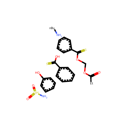 CCC(=O)OCOC(=S)c1ccccc1.CCCCN.N[SH](=O)=O.OC(=S)c1ccccc1.Oc1ccccc1